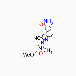 COCCC(=O)N1CCN(c2nc(C3CC3)c(-c3cccc(C(N)=O)c3)cc2C#N)CC1C